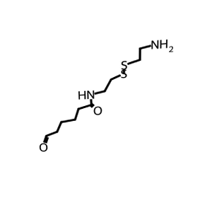 NCCSSCCNC(=O)CCCCC=O